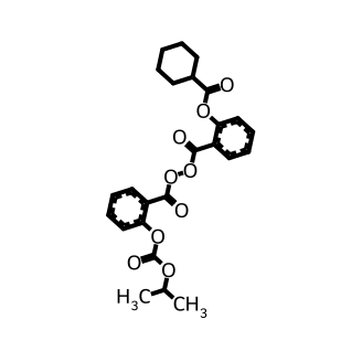 CC(C)OC(=O)Oc1ccccc1C(=O)OOC(=O)c1ccccc1OC(=O)C1CCCCC1